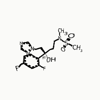 CN(CC[C@](O)(Cn1cncn1)c1ccc(F)cc1F)S(C)(=O)=O